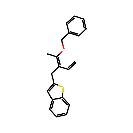 C=C/C(Cc1cc2ccccc2s1)=C(/C)OCc1ccccc1